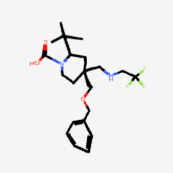 CC(C)(C)C1CC(CNCC(F)(F)F)(COCc2ccccc2)CCN1C(=O)O